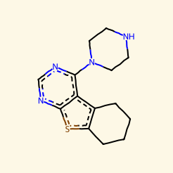 c1nc(N2CCNCC2)c2c3c(sc2n1)CCCC3